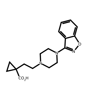 O=C(O)C1(CCN2CCN(c3noc4ccccc34)CC2)CC1